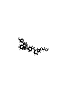 COCCOc1cc2nccc(Sc3ccc(Nc4nnc(-c5cc(C)cs5)c5ccccc45)cc3)n2n1